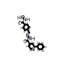 O=C(NO)c1ccc(/C=N/NC(=O)c2ccnc(-c3ccccc3)c2)cc1